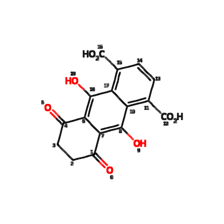 O=C1CCC(=O)c2c1c(O)c1c(C(=O)O)ccc(C(=O)O)c1c2O